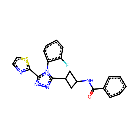 O=C(NC1CC(c2nnc(-c3nccs3)n2-c2ccccc2F)C1)c1ccccc1